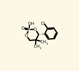 CC1(C)COP(=O)(O)O[C@@H]1c1ccccc1Cl